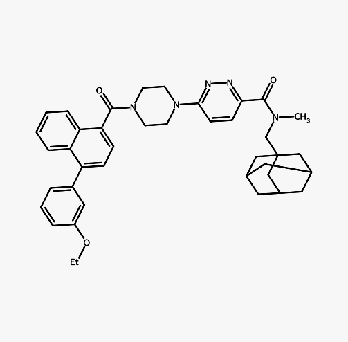 CCOc1cccc(-c2ccc(C(=O)N3CCN(c4ccc(C(=O)N(C)CC56CC7CC(CC(C7)C5)C6)nn4)CC3)c3ccccc23)c1